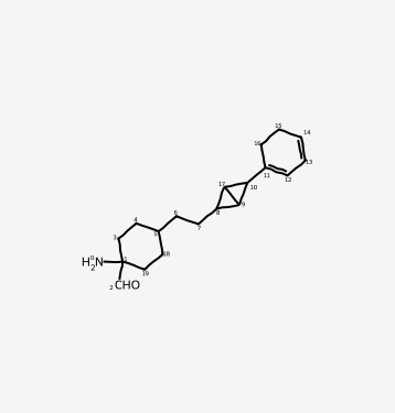 NC1(C=O)CCC(CCC2C3C(C4=CC=CCC4)C23)CC1